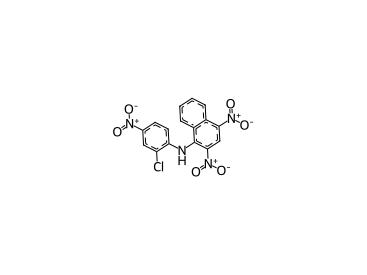 O=[N+]([O-])c1ccc(Nc2c([N+](=O)[O-])cc([N+](=O)[O-])c3ccccc23)c(Cl)c1